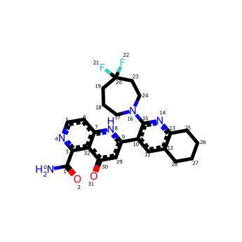 NC(=O)c1nccc2[nH]c(-c3cc4c(nc3N3CCCC(F)(F)CC3)CCCC4)cc(=O)c12